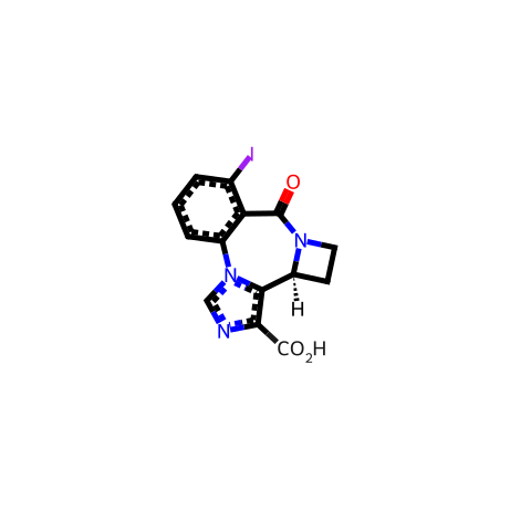 O=C(O)c1ncn2c1[C@@H]1CCN1C(=O)c1c(I)cccc1-2